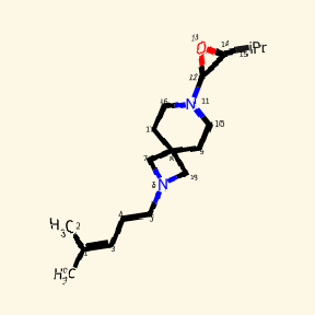 CC(C)=CCCN1CC2(CCN(C3OC3C(C)C)CC2)C1